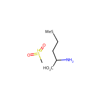 CSCCC(N)C(=O)O.C[SH](=O)=O